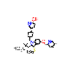 Cc1ccc(COc2ccc3c(c2)c(SC(C)(C)C)c(CC(C)(C)C(=O)O)n3Cc2ccc(-c3ccc(O)nc3)cc2)nc1